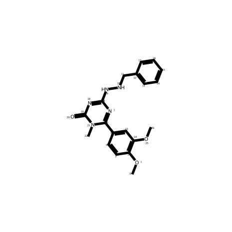 COc1ccc(-c2nc(NNCc3ccccc3)nc(=O)n2C)cc1OC